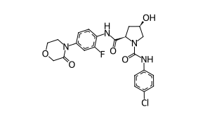 O=C(Nc1ccc(N2CCOCC2=O)cc1F)[C@H]1C[C@@H](O)CN1C(=O)Nc1ccc(Cl)cc1